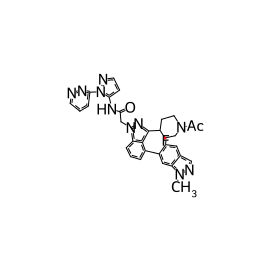 CC(=O)N1CCC(c2nn(CC(=O)Nc3ccnn3-c3cccnn3)c3cccc(-c4cc5c(cnn5C)cc4F)c23)CC1